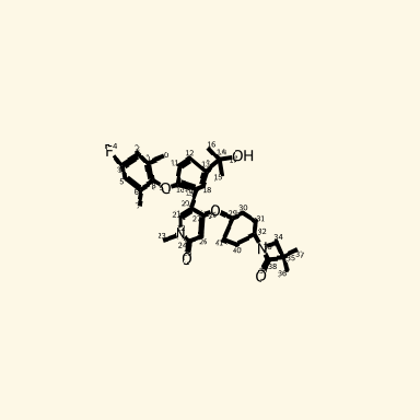 Cc1cc(F)cc(C)c1Oc1ccc(C(C)(C)O)cc1-c1cn(C)c(=O)cc1OC1CCC(N2CC(C)(C)C2=O)CC1